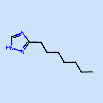 [CH2]CCCCCCc1nc[nH]n1